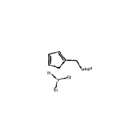 CCCCCCCCC1=CC=CC1.CCN(CC)CC